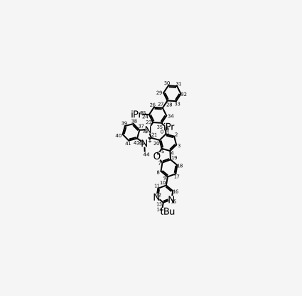 Cc1ccc2c(oc3cc(-c4cnc(C(C)(C)C)nc4)ccc32)c1-c1n(-c2c(C(C)C)cc(-c3ccccc3)cc2C(C)C)c2ccccc2[n+]1C